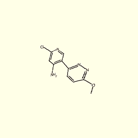 COc1ccc(-c2cnc(Cl)cc2N)nn1